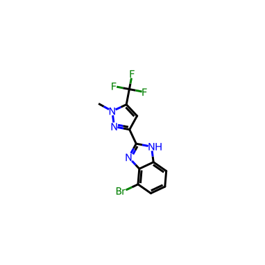 Cn1nc(-c2nc3c(Br)cccc3[nH]2)cc1C(F)(F)F